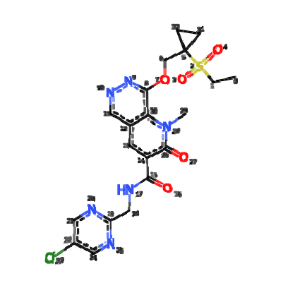 CCS(=O)(=O)C1(COc2nncc3cc(C(=O)NCc4ncc(Cl)cn4)c(=O)n(C)c23)CC1